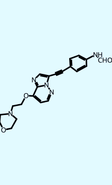 O=CNc1ccc(C#Cc2cnc3c(OCCN4CCOCC4)ccnn23)cc1